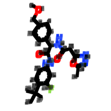 COCc1ccc([C@@H](NC(=O)Cc2nnc(C)o2)C(=O)Nc2ccc(C(C)(C)C)c(F)c2)cc1